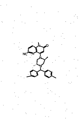 Cc1ccc(C(c2ccc(C)cc2)N2C[C@H](C)N(c3cc(=O)n(C)c4ccc(C#N)nc34)C[C@H]2C)cc1